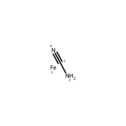 N#CN.[Fe]